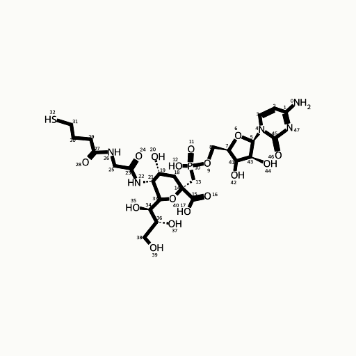 Nc1ccn([C@@H]2O[C@H](COP(=O)(O)C[C@@]3(C(=O)O)C[C@@H](O)[C@@H](NC(=O)CNC(=O)CCCS)C([C@H](O)[C@H](O)CO)O3)C(O)[C@@H]2O)c(=O)n1